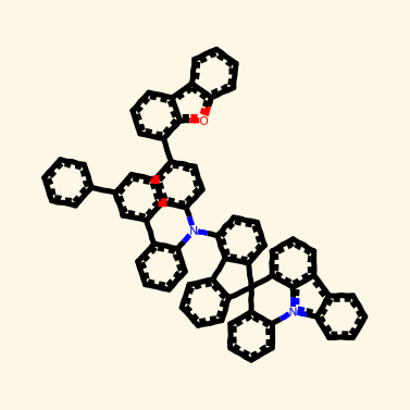 c1ccc(-c2cccc(-c3ccccc3N(c3ccc(-c4cccc5c4oc4ccccc45)cc3)c3cccc4c3-c3ccccc3C43c4ccccc4-n4c5ccccc5c5cccc3c54)c2)cc1